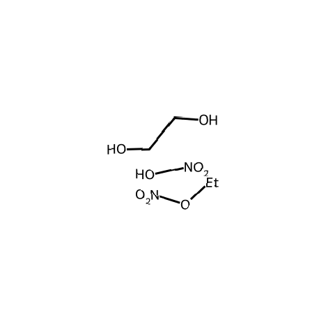 CCO[N+](=O)[O-].O=[N+]([O-])O.OCCO